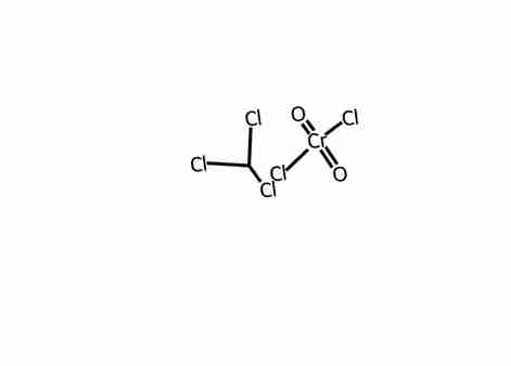 ClC(Cl)Cl.[O]=[Cr](=[O])([Cl])[Cl]